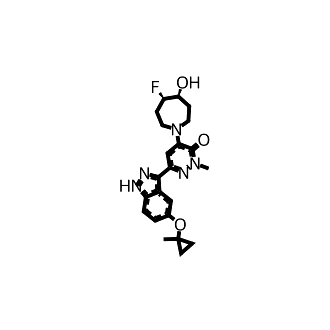 Cn1nc(-c2n[nH]c3ccc(OC4(C)CC4)cc23)cc(N2CC[C@@H](F)[C@@H](O)CC2)c1=O